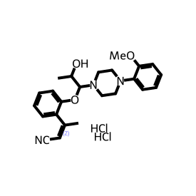 COc1ccccc1N1CCN(C(Oc2ccccc2/C(C)=C\C#N)C(C)O)CC1.Cl.Cl